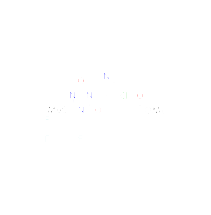 COC(=O)c1cccc(Cc2c(Cl)cncc2-n2c(=O)nc(SC)n(Cc3cc(F)c(F)cc3F)c2=O)c1